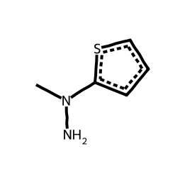 CN(N)c1cccs1